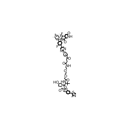 Cc1ncsc1-c1ccc(CNC(=O)[C@@H]2C[C@@H](O)CN2C(=O)[C@@H](NC(=O)COCCOCCNC(=O)CCC(=O)N2CCN(c3ncc(-c4cc(NC(=O)c5c[nH]c(=O)cc5C(F)(F)F)c(N5C[C@@H](C)N(C)[C@@H](C)C5)cc4F)cn3)CC2)C(C)(C)C)cc1